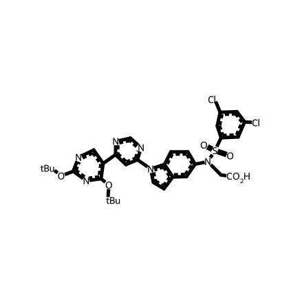 CC(C)(C)Oc1ncc(-c2cc(-n3ccc4cc(N(CC(=O)O)S(=O)(=O)c5cc(Cl)cc(Cl)c5)ccc43)ncn2)c(OC(C)(C)C)n1